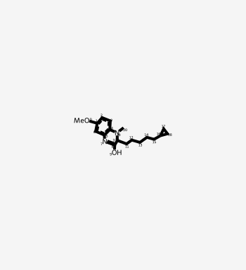 COc1ccc2c(c1)N=C(O)C(CCCCCC1CC1)N2C